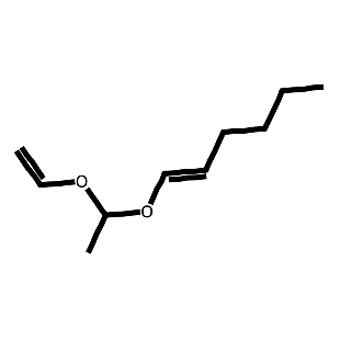 C=COC(C)O/C=C/CCCC